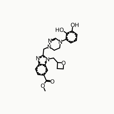 COC(=O)c1ccc2nc(CN3CCN(c4cccc(O)c4O)C=N3)n(CC3CCO3)c2c1